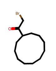 O=C(CBr)C1CCCCCCCCCC1